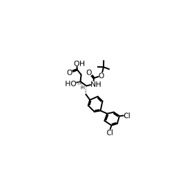 CC(C)(C)OC(=O)N[C@H](Cc1ccc(-c2cc(Cl)cc(Cl)c2)cc1)[C@@H](O)CC(=O)O